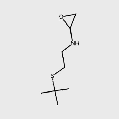 CC(C)(C)SCCNC1CO1